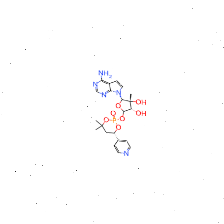 CC1(C)C[C@@H](c2ccncc2)O[P@@](=O)(OC2O[C@@H](n3ccc4c(N)ncnc43)[C@](C)(O)[C@@H]2O)O1